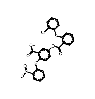 O=C(O)c1cc(OC(=O)c2ccccc2Sc2ccccc2Cl)ccc1Sc1ccccc1[N+](=O)[O-]